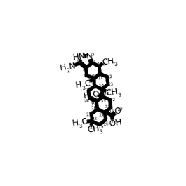 CC1c2n[nH]c(N)c2CC2(C)C1CCC1(C)C2CC=C2C3CC(C)(C)CCC3(C(=O)O)CCC21C